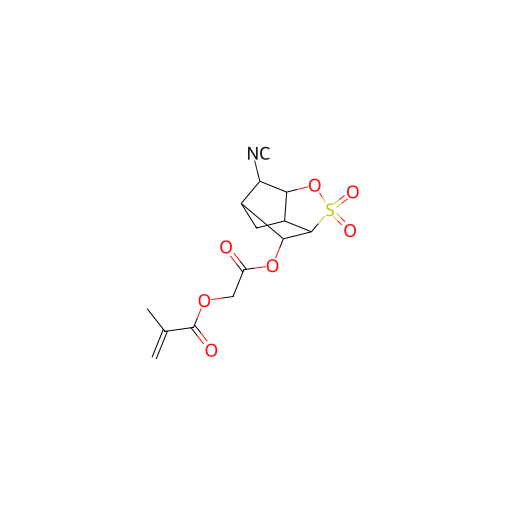 [C-]#[N+]C1C2CC3C1OS(=O)(=O)C3C2OC(=O)COC(=O)C(=C)C